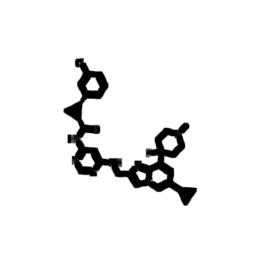 CN1CCC(F)(c2cc(C3CC3)cn3cc(CNc4cc(NC(=O)[C@H]5C[C@@H]5c5cccc(Cl)c5)ncn4)nc23)CC1